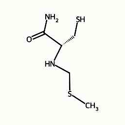 CSCN[C@@H](CS)C(N)=O